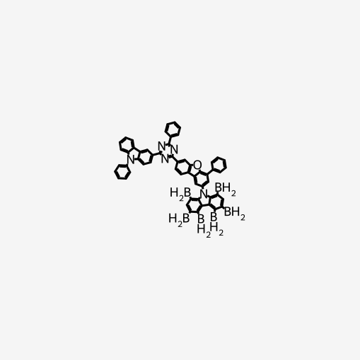 Bc1cc(B)c2c(c1B)c1c(B)c(B)cc(B)c1n2-c1cc(-c2ccccc2)c2oc3cc(-c4nc(-c5ccccc5)nc(-c5ccc6c(c5)c5ccccc5n6-c5ccccc5)n4)ccc3c2c1